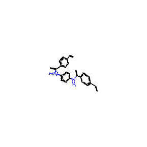 C=Cc1ccc(C(=C)Nc2ccc(NC(=C)c3ccc(C=C)cc3)cc2)cc1